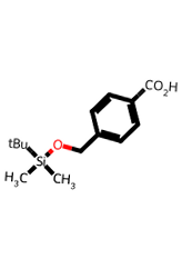 CC(C)(C)[Si](C)(C)OCc1ccc(C(=O)O)cc1